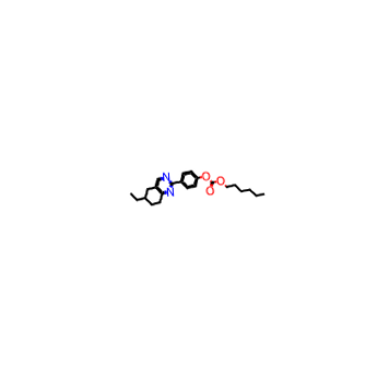 CCCCCCOC(=O)Oc1ccc(-c2ncc3c(n2)CCC(CC)C3)cc1